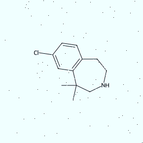 CC1(C)CNCCc2ccc(Cl)cc21